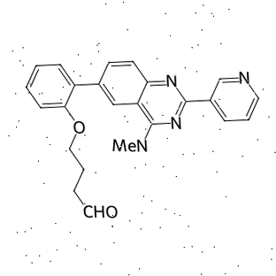 CNc1nc(-c2cccnc2)nc2ccc(-c3ccccc3OCCCC=O)cc12